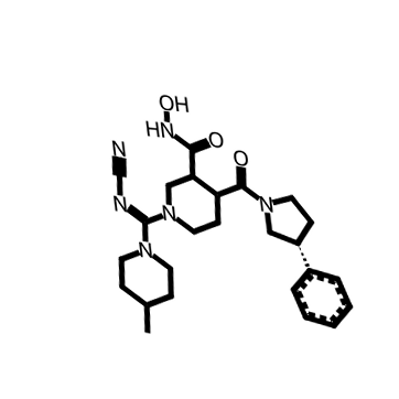 CC1CCN(C(=NC#N)N2CCC(C(=O)N3CC[C@H](c4ccccc4)C3)C(C(=O)NO)C2)CC1